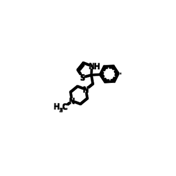 CN1CCN(CC2(c3cc[c]cc3)NC=CS2)CC1